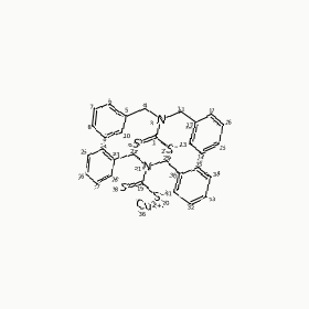 S=C([S-])N(Cc1ccccc1)Cc1ccccc1.S=C([S-])N(Cc1ccccc1)Cc1ccccc1.[Cu+2]